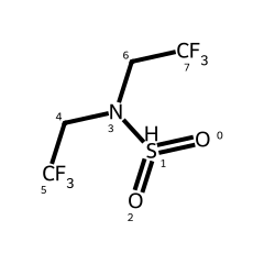 O=[SH](=O)N(CC(F)(F)F)CC(F)(F)F